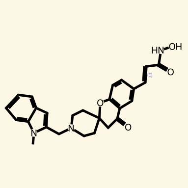 Cn1c(CN2CCC3(CC2)CC(=O)c2cc(/C=C/C(=O)NO)ccc2O3)cc2ccccc21